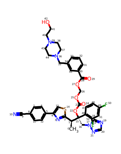 C[C@@H](c1nc(-c2ccc(C#N)cc2)cs1)[C@@](Cn1cncn1)(OC(=O)OCOC(=O)c1cccc(CN2CCN(CCO)CC2)c1)c1ccc(F)cc1F